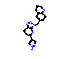 c1cnc2ccc(Cn3nnc4ccc(-c5cn[nH]c5)nc43)cc2c1